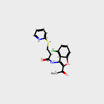 COC(=O)c1oc2cccc(Cl)c2c1NC(=O)CCSc1ccccn1